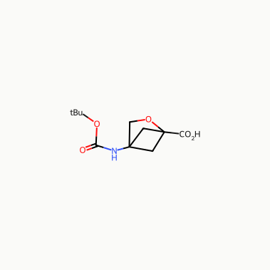 CC(C)(C)OC(=O)NC12COC(C(=O)O)(C1)C2